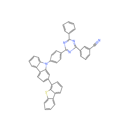 N#Cc1cccc(-c2nc(-c3ccccc3)nc(-c3ccc(-n4c5ccccc5c5ccc(-c6cccc7c6sc6ccccc67)cc54)cc3)n2)c1